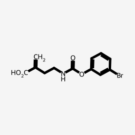 C=C(CCNC(=O)Oc1cccc(Br)c1)C(=O)O